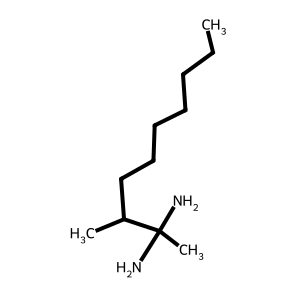 CCCCCCCC(C)C(C)(N)N